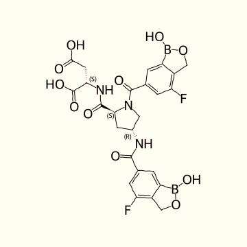 O=C(O)C[C@H](NC(=O)[C@@H]1C[C@@H](NC(=O)c2cc(F)c3c(c2)B(O)OC3)CN1C(=O)c1cc(F)c2c(c1)B(O)OC2)C(=O)O